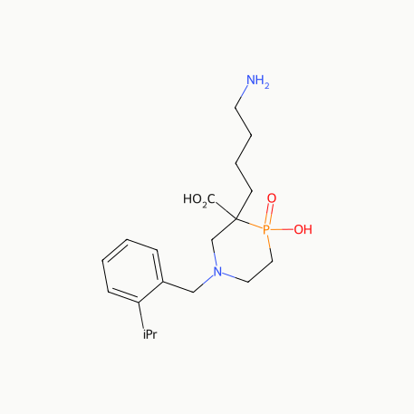 CC(C)c1ccccc1CN1CCP(=O)(O)C(CCCCN)(C(=O)O)C1